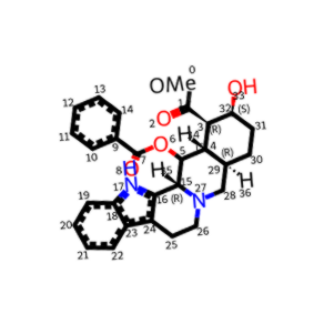 COC(=O)[C@@H]1[C@H]2C(OC(=O)c3ccccc3)[C@H]3c4[nH]c5ccccc5c4CCN3C[C@@H]2CC[C@@H]1O